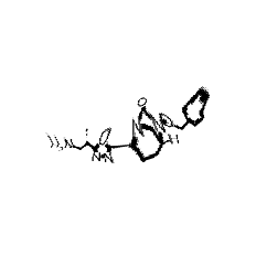 C[C@@H](CN)c1nnc([C@@H]2CC[C@@H]3CN2C(=O)N3OCc2ccccc2)o1